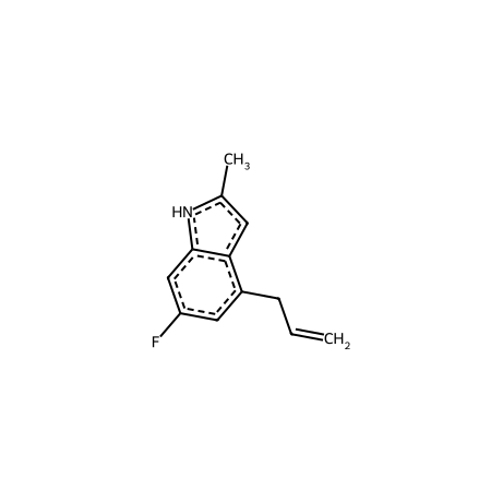 C=CCc1cc(F)cc2[nH]c(C)cc12